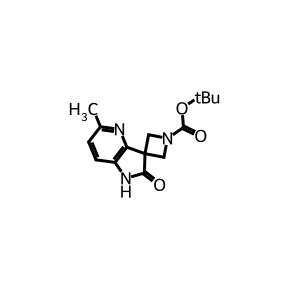 Cc1ccc2c(n1)C1(CN(C(=O)OC(C)(C)C)C1)C(=O)N2